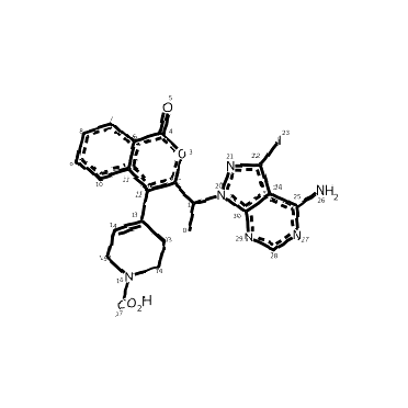 CC(c1oc(=O)c2ccccc2c1C1=CCN(C(=O)O)CC1)n1nc(I)c2c(N)ncnc21